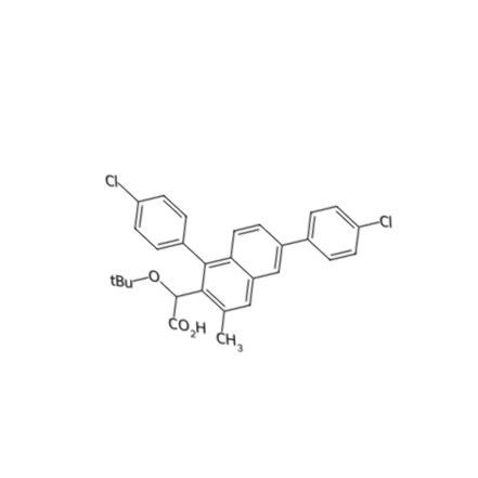 Cc1cc2cc(-c3ccc(Cl)cc3)ccc2c(-c2ccc(Cl)cc2)c1C(OC(C)(C)C)C(=O)O